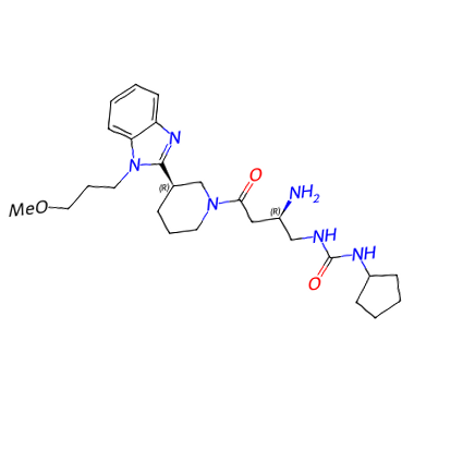 COCCCn1c([C@@H]2CCCN(C(=O)C[C@@H](N)CNC(=O)NC3CCCC3)C2)nc2ccccc21